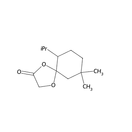 CC(C)C1CCC(C)(C)CC12OCC(=O)O2